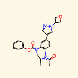 CC(=O)N1c2ccc(-c3cnn(C4COC4)c3)cc2N(C(=O)Oc2ccccc2)CC1C